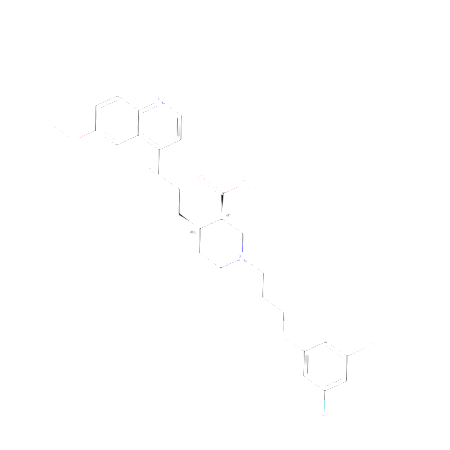 COc1ccc2nccc([C@@H](F)CC[C@@H]3CCN(CCCSc4cc(F)cc(Cl)c4)C[C@@H]3C(=O)O)c2c1